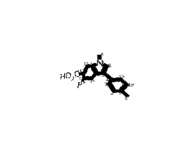 Cc1ccc(-c2cn(C)c3cc(C(=O)O)c(F)cc23)cc1